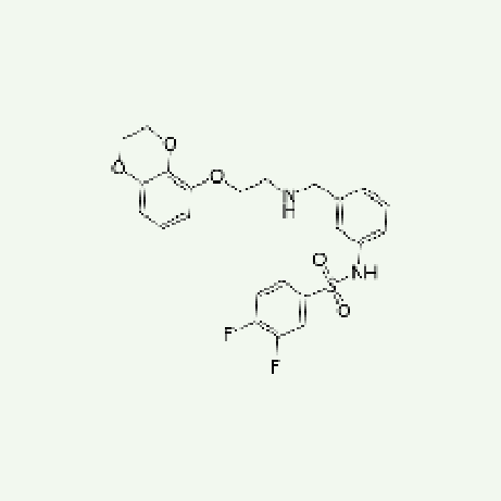 O=S(=O)(Nc1cccc(CNCCOc2cccc3c2OCCO3)c1)c1ccc(F)c(F)c1